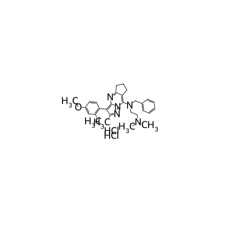 COc1ccc(-c2c(C)nn3c(N(CCN(C)C)Cc4ccccc4)c4c(nc23)CCC4)c(C)c1.Cl.Cl